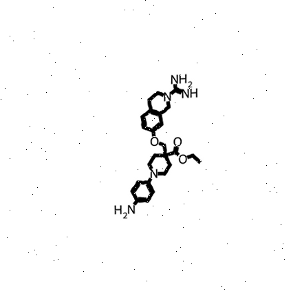 CCOC(=O)C1(COc2ccc3c(c2)CN(C(=N)N)CC3)CCN(c2ccc(N)cc2)CC1